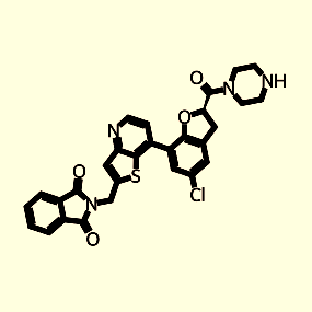 O=C([C@H]1Cc2cc(Cl)cc(-c3ccnc4cc(CN5C(=O)c6ccccc6C5=O)sc34)c2O1)N1CCNCC1